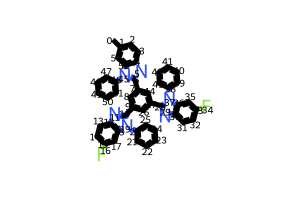 Cc1ccc2nc(-c3cc(-c4nc5ccc(F)cc5n4-c4ccccc4)cc(-c4nc5ccc(F)cc5n4-c4ccccc4)c3)n(-c3ccccc3)c2c1